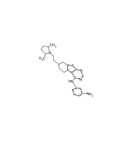 CC1CCC(C)N1CCC1CCc2c(sc3ncnc(Nc4cccc(N)c4)c23)C1